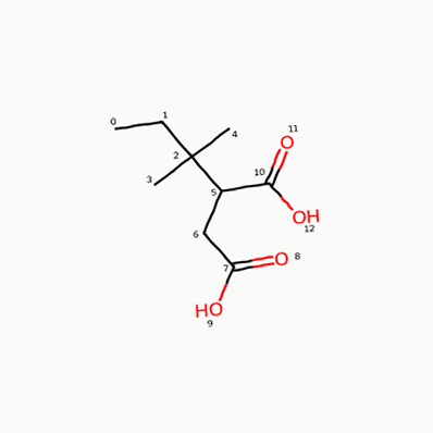 CCC(C)(C)C(CC(=O)O)C(=O)O